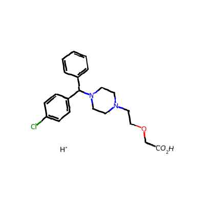 O=C(O)COCCN1CCN(C(c2ccccc2)c2ccc(Cl)cc2)CC1.[H+]